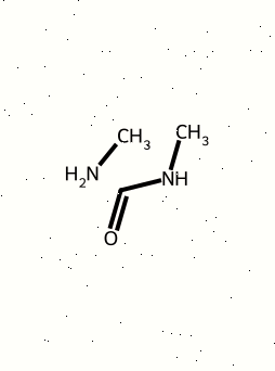 CN.CNC=O